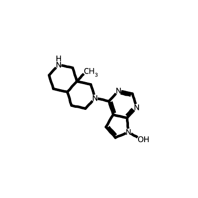 CC12CNCCC1CCN(c1ncnc3c1ccn3O)C2